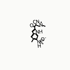 Cc1cc2cc(C(=O)C(C#N)CN(C)C)[nH]c2cc1N[S+](C)[O-]